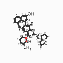 C#Cc1cccc2cc(O)cc(-c3c(F)cc4c(N5CC6(C)CCC5CN6)nc(OC[C@@]56CCCN5C[C@H](F)C6)nc4c3F)c12